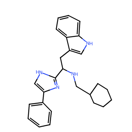 c1ccc(-c2c[nH]c(C(Cc3c[nH]c4ccccc34)NCC3CCCCC3)n2)cc1